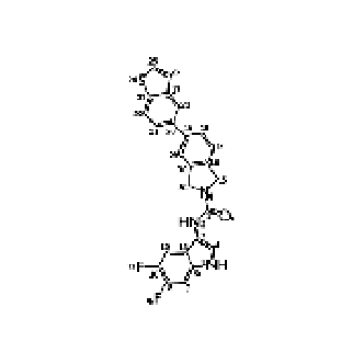 O=C(Nc1c[nH]c2cc(F)c(F)cc12)N1Cc2ccc(-c3ccc4sccc4c3)cc2C1